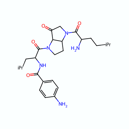 CC(C)CCC(N)C(=O)N1CC(=O)C2C1CCN2C(=O)C(CC(C)C)NC(=O)c1ccc(N)cc1